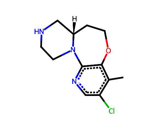 Cc1c(Cl)cnc2c1OCC[C@H]1CNCCN21